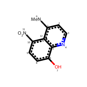 CNc1ccnc2c(O)ccc([N+](=O)[O-])c12